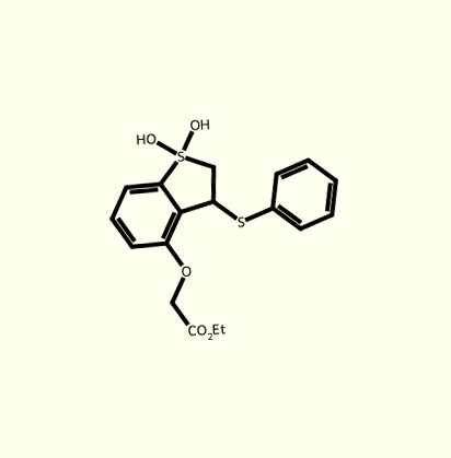 CCOC(=O)COc1cccc2c1C(Sc1ccccc1)CS2(O)O